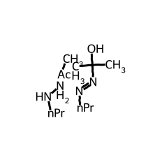 CC(C)=O.CCCN=NC(C)(C)O.CCCNN